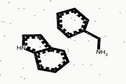 NCc1ccccc1.c1ccc2[nH]ccc2c1